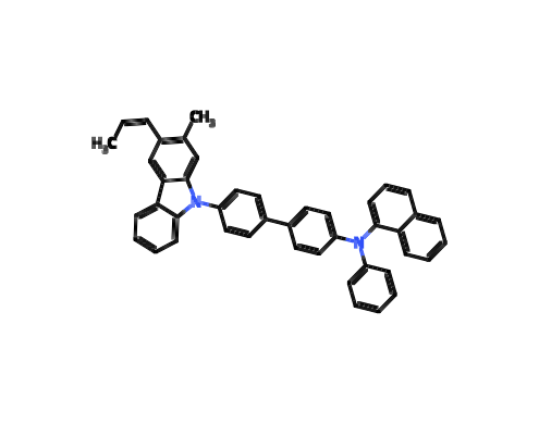 C/C=C\c1cc2c3ccccc3n(-c3ccc(-c4ccc(N(c5ccccc5)c5cccc6ccccc56)cc4)cc3)c2cc1C